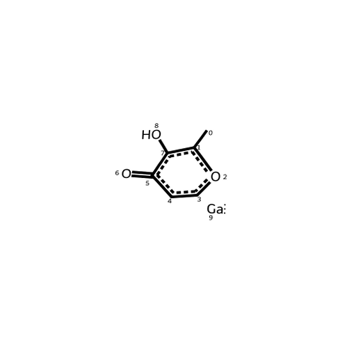 Cc1occc(=O)c1O.[Ga]